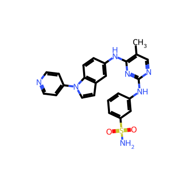 Cc1cnc(Nc2cccc(S(N)(=O)=O)c2)nc1Nc1ccc2c(ccn2-c2ccncc2)c1